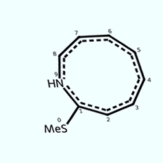 CSc1ccccccc[nH]1